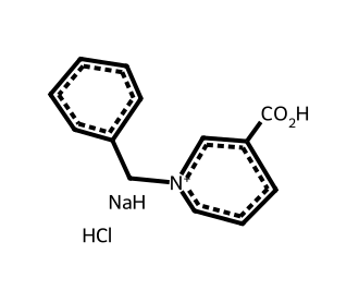 Cl.O=C(O)c1ccc[n+](Cc2ccccc2)c1.[NaH]